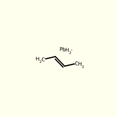 [CH2]/C=C/C.[PbH2]